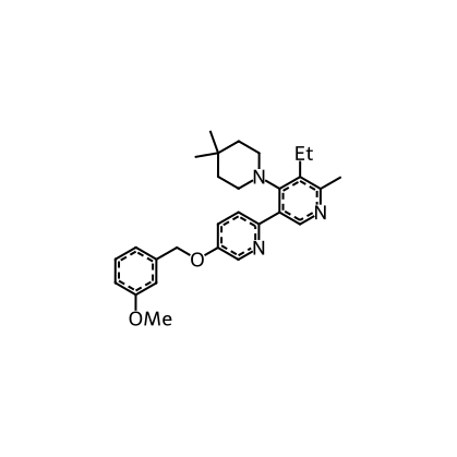 CCc1c(C)ncc(-c2ccc(OCc3cccc(OC)c3)cn2)c1N1CCC(C)(C)CC1